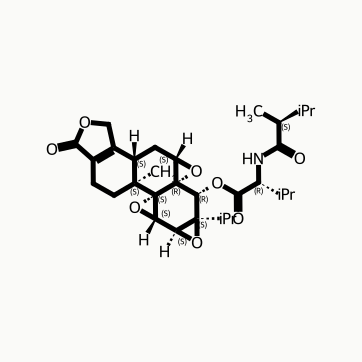 CC(C)[C@H](C)C(=O)N[C@@H](C(=O)O[C@@H]1[C@@]2(C(C)C)O[C@H]2[C@@H]2O[C@]23[C@]12O[C@H]2C[C@H]1C2=C(CC[C@@]13C)C(=O)OC2)C(C)C